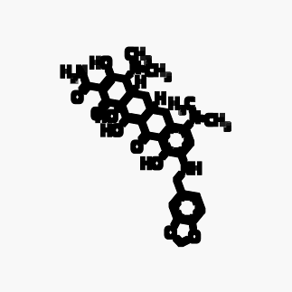 CN(C)c1cc(NCc2ccc3c(c2)OCO3)c(O)c2c1C[C@H]1C[C@H]3[C@H](N(C)C)C(O)=C(C(N)=O)C(=O)[C@@]3(O)C(O)=C1C2=O